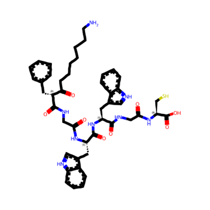 NCCCCCCCC(=O)[C@@H](Cc1ccccc1)C(=O)NCC(=O)N[C@@H](Cc1c[nH]c2ccccc12)C(=O)N[C@@H](Cc1c[nH]c2ccccc12)C(=O)NCC(=O)N[C@@H](CS)C(=O)O